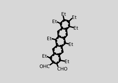 CCc1c(CC)c(CC)c2cc3c(CC)c4cc5c(CC)c(C=O)c(C=O)c(CC)c5cc4c(CC)c3cc2c1CC